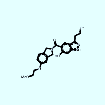 COCCOc1ccc2c(c1)CN(C(=O)c1cc3c(CCC(C)C)n[nH]c3cc1O)C2